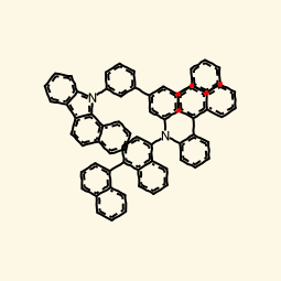 c1ccc(-c2cc(-c3cccc(-n4c5ccccc5c5ccc6ccccc6c54)c3)cc(N(c3ccccc3-c3cccc4ccccc34)c3ccc(-c4cccc5ccccc45)c4ccccc34)c2)cc1